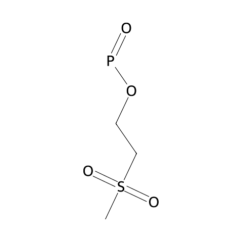 CS(=O)(=O)CCOP=O